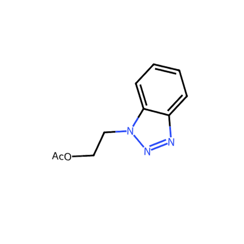 CC(=O)OCCn1nnc2ccccc21